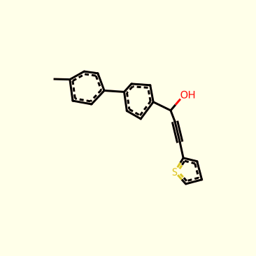 Cc1ccc(-c2ccc(C(O)C#Cc3cccs3)cc2)cc1